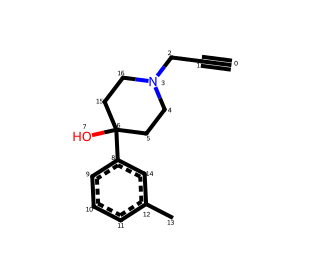 C#CCN1CCC(O)(c2cccc(C)c2)CC1